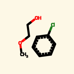 COCCO.Clc1ccccc1